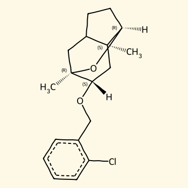 C[C@]12CC3CC[C@@H](O1)[C@@]3(C)C[C@@H]2OCc1ccccc1Cl